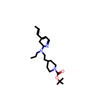 C/C=C/C1=CC=NC(N(CCC)CCC2CCN(C(=O)OC(C)(C)C)CC2)C1